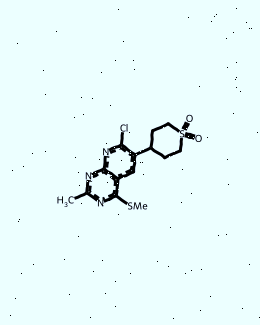 CSc1nc(C)nc2nc(Cl)c(C3CCS(=O)(=O)CC3)cc12